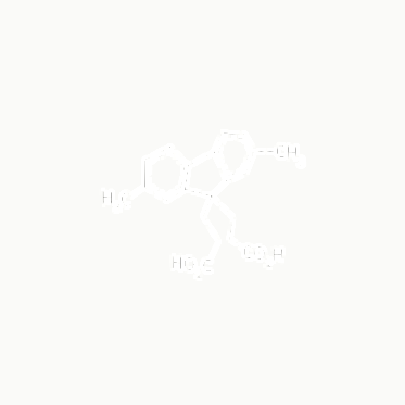 Cc1ccc2c(c1)C(CCC(=O)O)(CCC(=O)O)c1cc(C)ccc1-2